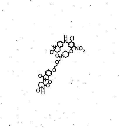 CN1C(=O)CCc2cc(Nc3cc(OC4CCN(C(=O)COCCOc5ccc6c(c5)C(=O)N(C5CCC(=O)NC5=O)C6=O)CC4)c([N+](=O)[O-])cc3Cl)ccc21